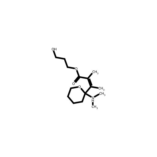 CC(C(=O)OCCCO)=C(C)C1([SiH](C)C)CCCCO1